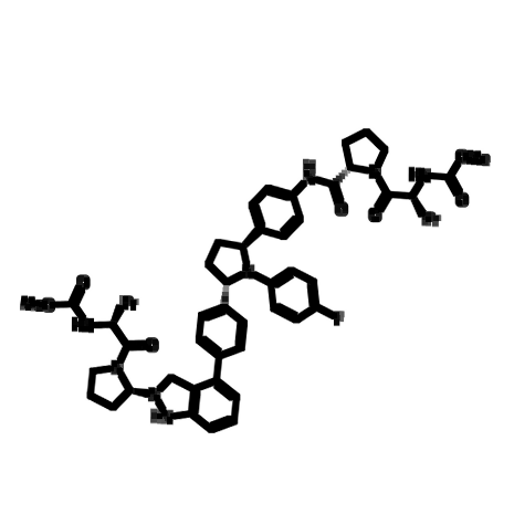 COC(=O)N[C@H](C(=O)N1CCC[C@@H]1N1Cc2c(cccc2-c2ccc([C@@H]3CC[C@@H](c4ccc(NC(=O)[C@@H]5CCCN5C(=O)[C@@H](NC(=O)OC)C(C)C)cc4)N3c3ccc(F)cc3)cc2)N1)C(C)C